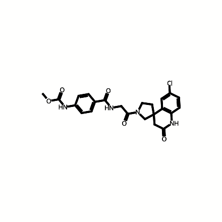 COC(=O)Nc1ccc(C(=O)NCC(=O)N2CCC3(CC(=O)Nc4ccc(Cl)cc43)C2)cc1